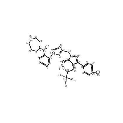 O=C(c1ccccc1-n1cnc(Cn2nc(-c3ccc(Cl)cc3)n(CC(O)C(F)(F)F)c2=O)n1)N1CCCOCC1